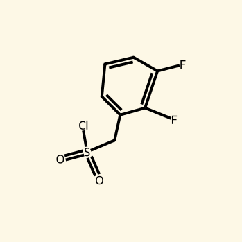 O=S(=O)(Cl)Cc1cccc(F)c1F